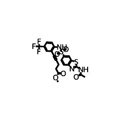 COC(=O)CCC#Cc1cc(C(F)(F)F)ccc1NS(=O)(=O)c1ccc2nc(NC(C)=O)sc2c1